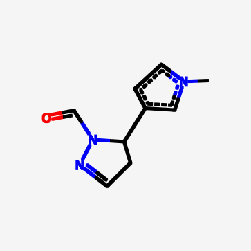 Cn1ccc(C2CC=NN2C=O)c1